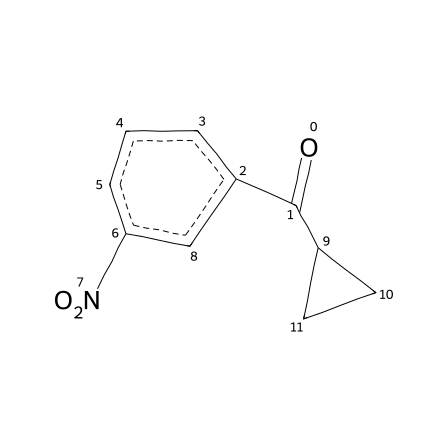 O=C(c1cccc([N+](=O)[O-])c1)C1CC1